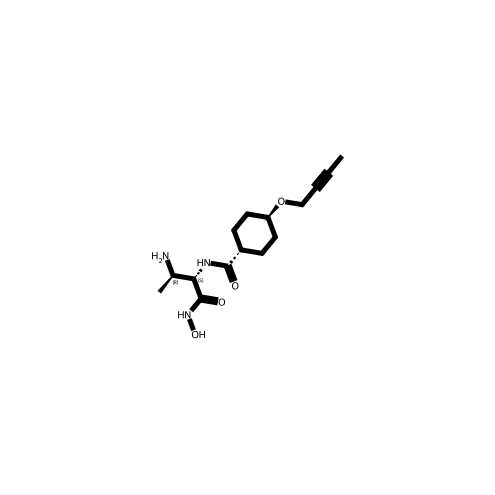 CC#CCO[C@H]1CC[C@H](C(=O)N[C@H](C(=O)NO)[C@@H](C)N)CC1